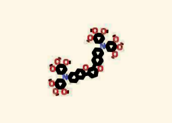 COc1cc(N(c2cc(OC)c(OC)c(OC)c2)c2ccc3cc4c(cc3c2)oc2c4ccc3oc4cc5cc(N(c6cc(OC)c(OC)c(OC)c6)c6cc(OC)c(OC)c(OC)c6)ccc5cc4c32)cc(OC)c1OC